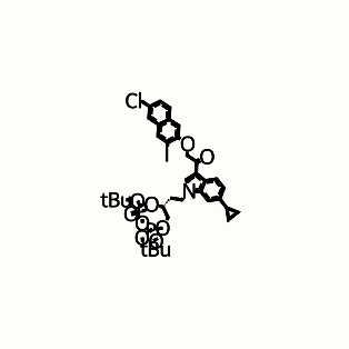 CC(C)(C)OP1(=O)OC[C@@H](CCn2cc(C(=O)COc3cc4ccc(Cl)cc4cc3I)c3ccc(C4CC4)cc32)OP(=O)(OC(C)(C)C)O1